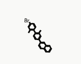 Cc1cc(Br)ccc1-c1ccc(-c2ccc3ccccc3c2)cc1C